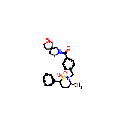 C[C@H]1CCC(c2ccccc2)S(=O)(=O)N1Cc1ccc(C(=O)N2CCC3(CCOC3)C2)cc1